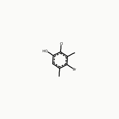 Cc1cc(O)c(Cl)c(C)c1Br